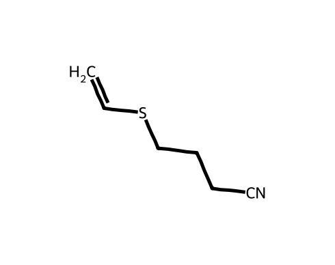 C=CSCCCC#N